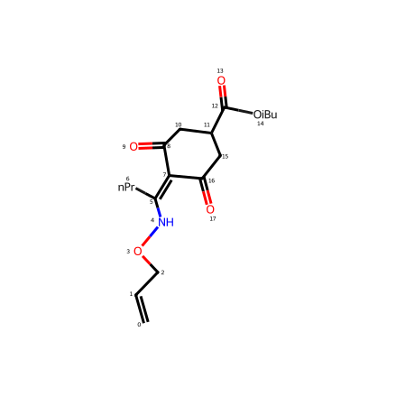 C=CCONC(CCC)=C1C(=O)CC(C(=O)OCC(C)C)CC1=O